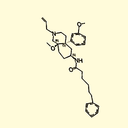 C=CCN1CC[C@@]2(c3cccc(OC)c3)C[C@@H](NC(=O)CCCCCc3ccccc3)CC[C@]2(OC)C1